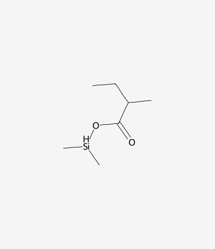 CCC(C)C(=O)O[SiH](C)C